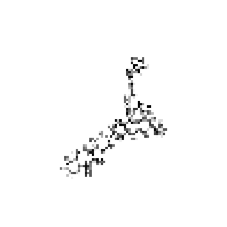 C[S+]([O-])N=C=C=CN=C=C=NC(=O)[C@@H](Cc1cc(C(F)(F)F)cc(C(F)(F)F)c1)OC(=O)N1CCC(N2CCc3ccccc3NC2=O)CC1